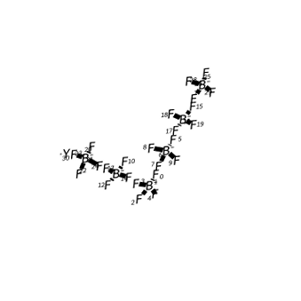 F[B-](F)(F)F.F[B-](F)(F)F.F[B-](F)(F)F.F[B-](F)(F)F.F[B-](F)(F)F.F[B-](F)(F)F.[Y]